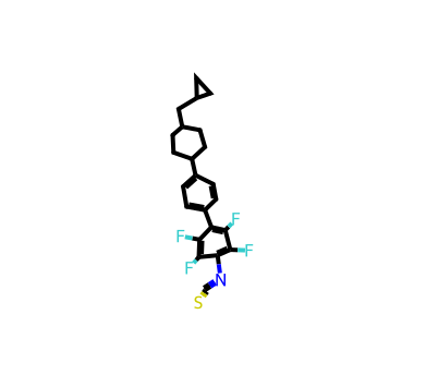 Fc1c(F)c(-c2ccc(C3CCC(CC4CC4)CC3)cc2)c(F)c(F)c1N=C=S